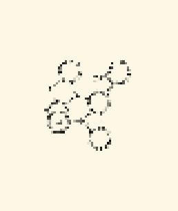 c1ccc(-n2c3ccccc3c3cc4c(oc5ccccc54)c(B4c5ccccc5Oc5ccccc54)c32)cc1